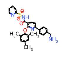 Cc1cc(C)c(Oc2nc(-c3ccc(CN)cc3)ccc2C(=O)NS(=O)(=O)c2ccccn2)c(C)c1